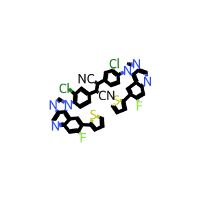 N#CC(c1ccc(-n2cnc3cnc4cc(F)c(-c5cccs5)cc4c32)c(Cl)c1)C(C#N)c1ccc(-n2cnc3cnc4cc(F)c(-c5cccs5)cc4c32)c(Cl)c1